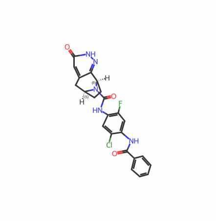 O=C(Nc1cc(F)c(NC(=O)N2[C@H]3CC[C@@H]2c2n[nH]c(=O)cc2C3)cc1Cl)c1ccccc1